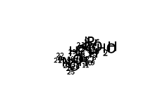 CC(C)C1=C[C@H]2C[C@@]3(C=O)[C@@H]4CC[C@@H](C)[C@@H]4C[C@@]2(CO[C@H]2CN(C4CC4)C[C@@H](C)O2)[C@]13C(=O)O